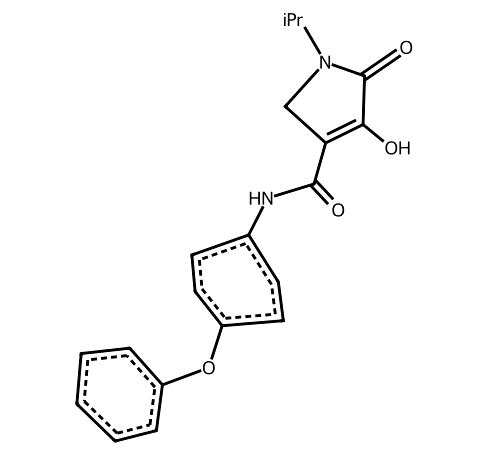 CC(C)N1CC(C(=O)Nc2ccc(Oc3ccccc3)cc2)=C(O)C1=O